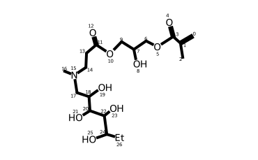 C=C(C)C(=O)OCC(O)COC(=O)CCN(C)CC(O)C(O)C(O)C(O)CC